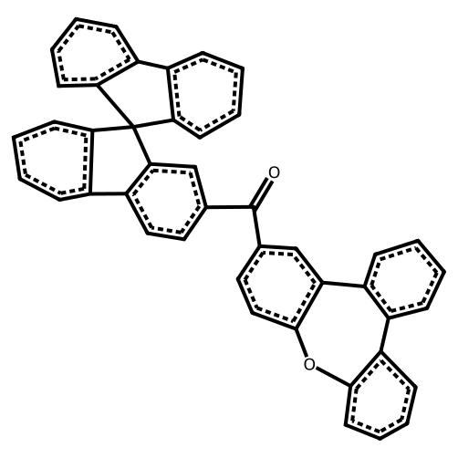 O=C(c1ccc2c(c1)-c1ccccc1-c1ccccc1O2)c1ccc2c(c1)C1(c3ccccc3-c3ccccc31)c1ccccc1-2